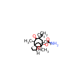 C=C[C@]1(C)C[C@@]2(OC(N)=O)O[C@@H]3CC[C@@]4(CC[C@@H](C)[C@]2(C)[C@@H]34)[C@@H](C)C1=O